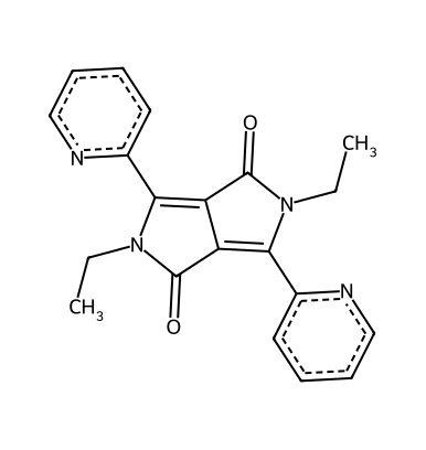 CCN1C(=O)C2=C(c3ccccn3)N(CC)C(=O)C2=C1c1ccccn1